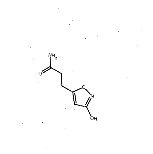 NC(=O)CCc1cc(O)no1